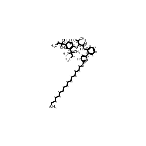 CCCCCCCCCCCCCCCCSc1nc(-c2ccccc2NC(=O)C(Oc2ccc(C(C)(C)CC)cc2C(C)(C)CC)C(C)C)c[nH]1